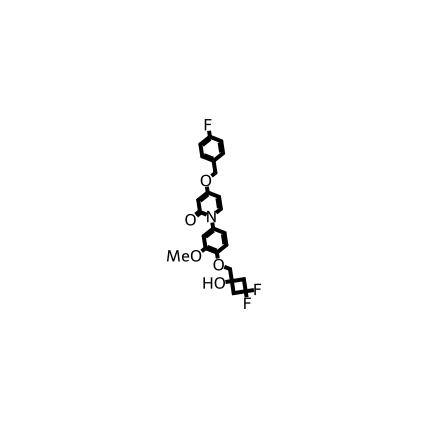 COc1cc(-n2ccc(OCc3ccc(F)cc3)cc2=O)ccc1OCC1(O)CC(F)(F)C1